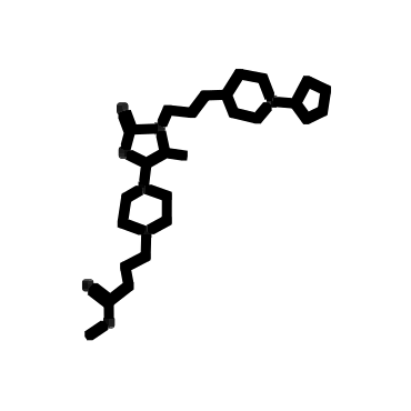 COC(=O)CCCN1CCN(C2OC(=O)N(CCCC3CCN(C4CCCC4)CC3)C2C)CC1